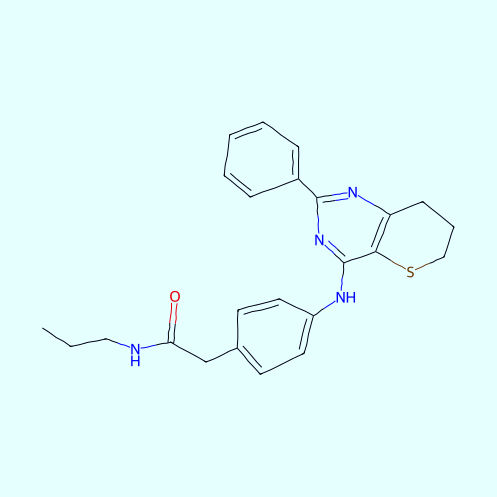 CCCNC(=O)Cc1ccc(Nc2nc(-c3ccccc3)nc3c2SCCC3)cc1